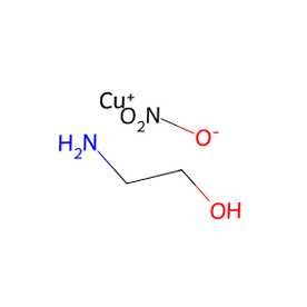 NCCO.O=[N+]([O-])[O-].[Cu+]